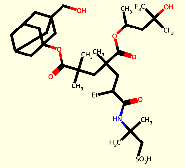 CCC(CC(C)(CC(C)(C)C(=O)OC12CC3CC(CC(CO)(C3)C1)C2)C(=O)OC(C)CC(O)(C(F)(F)F)C(F)(F)F)C(=O)NC(C)(C)CS(=O)(=O)O